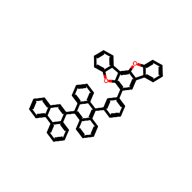 c1cc(-c2c3ccccc3c(-c3cc4ccccc4c4ccccc34)c3ccccc23)cc(-c2cc3c4ccccc4oc3c3c2oc2ccccc23)c1